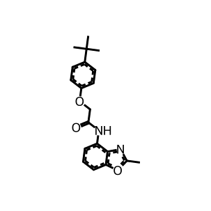 Cc1nc2c(NC(=O)COc3ccc(C(C)(C)C)cc3)cccc2o1